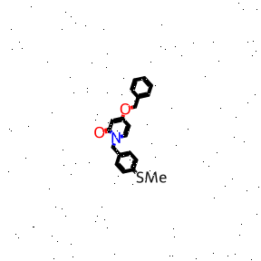 CSc1ccc(Cn2ccc(OCc3ccccc3)cc2=O)cc1